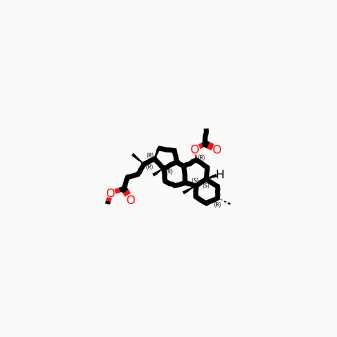 COC(=O)CC[C@@H](C)[C@H]1CCC2C3C(CC[C@@]21C)[C@@]1(C)CC[C@@H](C)C[C@H]1C[C@H]3OC(C)=O